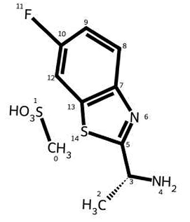 CS(=O)(=O)O.C[C@@H](N)c1nc2ccc(F)cc2s1